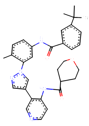 Cc1ccc(NC(=O)c2cccc(C(C)(C)C#N)c2)cc1-n1cc(-c2cnccc2NC(=O)C2CCOCC2)cn1